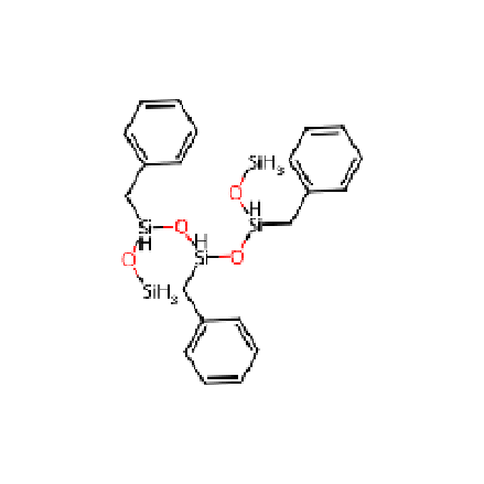 [SiH3]O[SiH](Cc1ccccc1)O[SiH](Cc1ccccc1)O[SiH](Cc1ccccc1)O[SiH3]